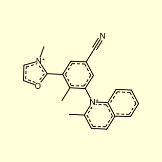 Cc1c(-c2occ[n+]2C)cc(C#N)cc1-[n+]1c(C)ccc2ccccc21